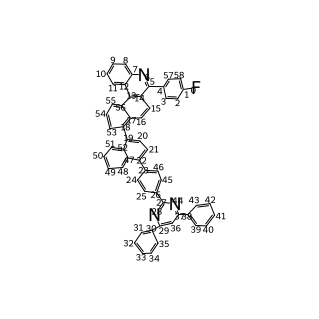 Fc1ccc(-c2nc3ccccc3c3c2ccc2c(-c4ccc(-c5ccc(-c6nc(-c7ccccc7)cc(-c7ccccc7)n6)cc5)c5ccccc45)cccc23)cc1